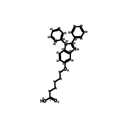 O=C(O)CCCCCOc1ccc2c(c1)nc(-c1ccccc1)n2-c1ccccn1